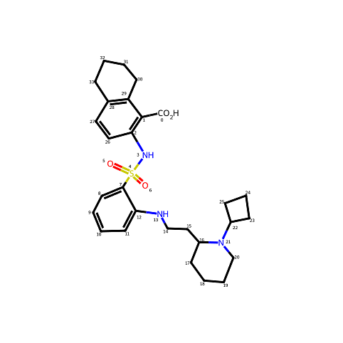 O=C(O)c1c(NS(=O)(=O)c2ccccc2NCCC2CCCCN2C2CCC2)ccc2c1CCCC2